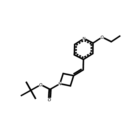 CCOc1cc(C=C2CN(C(=O)OC(C)(C)C)C2)ccn1